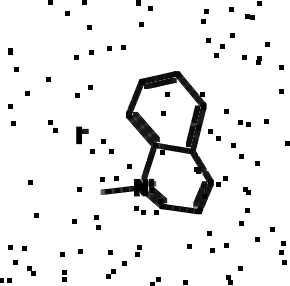 C[n+]1cccc2ccccc21.[I-]